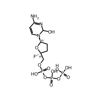 NC1=NC(O)N([C@H]2CC[C@@](F)(COP(=O)(O)OP(=O)(O)OP(=O)(O)O)O2)C=C1